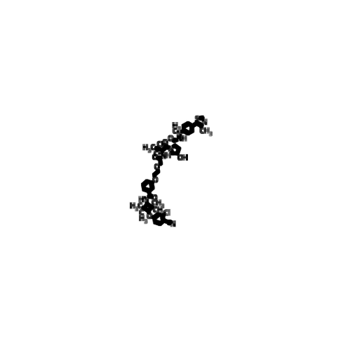 Cc1ncsc1-c1ccc(N(C)NC(=O)[C@@H]2C[C@@H](O)CN2C(=O)[C@@H](NC(=O)COCCOc2cccc(C(=O)NC3C(C)(C)C(Oc4ccc(C#N)c(Cl)c4)C3(C)C)c2)C(C)(C)C)cc1